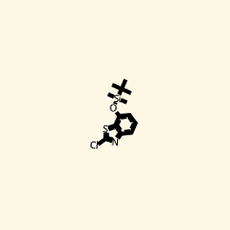 CC(C)(C)[Si](C)(C)Oc1cccc2nc(Cl)sc12